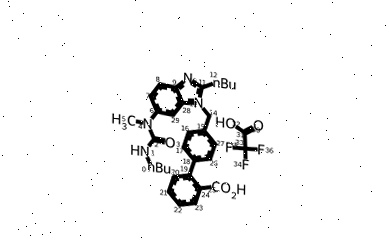 CCCCNC(=O)N(C)c1ccc2nc(CCCC)n(Cc3ccc(-c4ccccc4C(=O)O)cc3)c2c1.O=C(O)C(F)(F)F